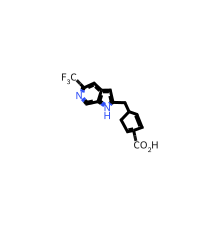 O=C(O)C1=CCC(Cc2cc3cc(C(F)(F)F)ncc3[nH]2)C=C1